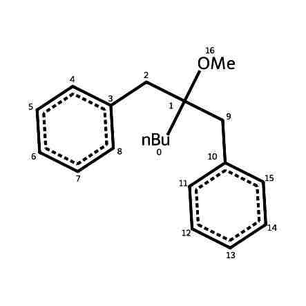 CCCCC(Cc1ccccc1)(Cc1ccccc1)OC